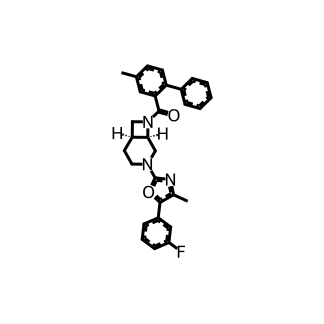 Cc1ccc(-c2ccccc2)c(C(=O)N2C[C@@H]3CCN(c4nc(C)c(-c5cccc(F)c5)o4)C[C@@H]32)c1